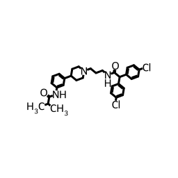 CC(C)C(=O)Nc1cccc(C2CCN(CCCNC(=O)C(c3ccc(Cl)cc3)c3ccc(Cl)cc3)CC2)c1